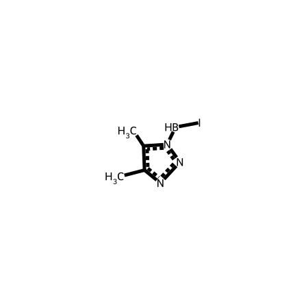 Cc1nnn(BI)c1C